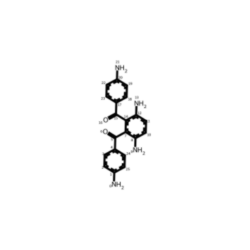 Nc1ccc(C(=O)c2c(N)ccc(N)c2C(=O)c2ccc(N)cc2)cc1